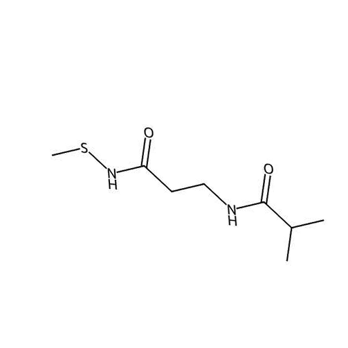 CSNC(=O)CCNC(=O)C(C)C